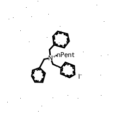 CCCCC[N+](Cc1ccccc1)(Cc1ccccc1)Cc1ccccc1.[I-]